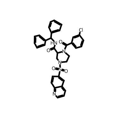 O=C(NC(c1ccccc1)c1ccccc1)C1CN(S(=O)(=O)c2ccc3ncccc3c2)CCN1C(=O)c1cccc(Cl)c1